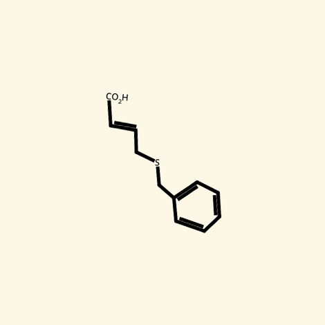 O=C(O)C=CCSCc1ccccc1